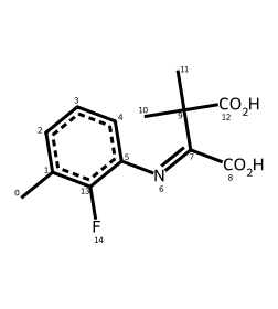 Cc1cccc(N=C(C(=O)O)C(C)(C)C(=O)O)c1F